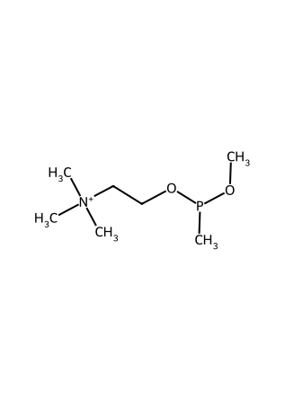 COP(C)OCC[N+](C)(C)C